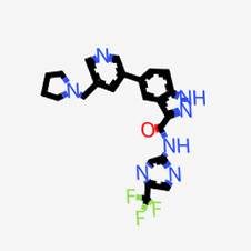 O=C(Nc1cnc(C(F)(F)F)cn1)c1n[nH]c2ccc(-c3cncc(CN4CCCC4)c3)cc12